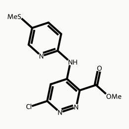 COC(=O)c1nnc(Cl)cc1Nc1ccc(SC)cn1